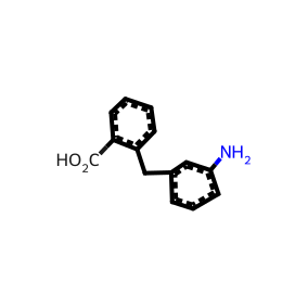 Nc1cccc(Cc2ccccc2C(=O)O)c1